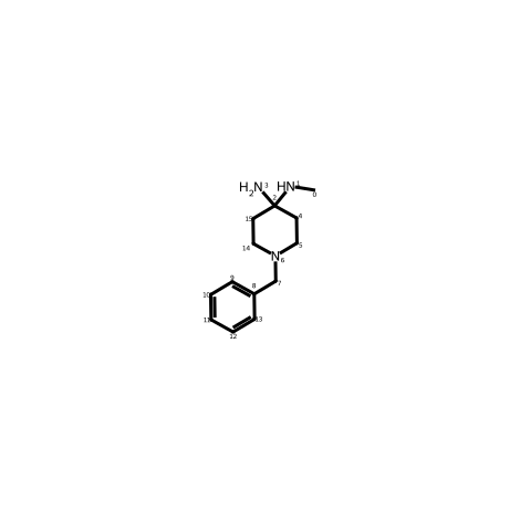 CNC1(N)CCN(Cc2ccccc2)CC1